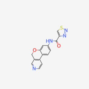 O=C(Nc1ccc2c(c1)OCc1cnccc1-2)c1csnn1